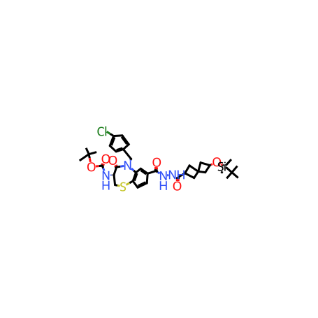 CC(C)(C)OC(=O)N[C@H]1CSc2ccc(C(=O)NNC(=O)C3CC4(CC(O[Si](C)(C)C(C)(C)C)C4)C3)cc2N(Cc2ccc(Cl)cc2)C1=O